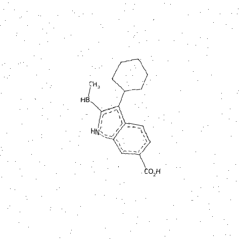 CBc1[nH]c2cc(C(=O)O)ccc2c1C1CCCCC1